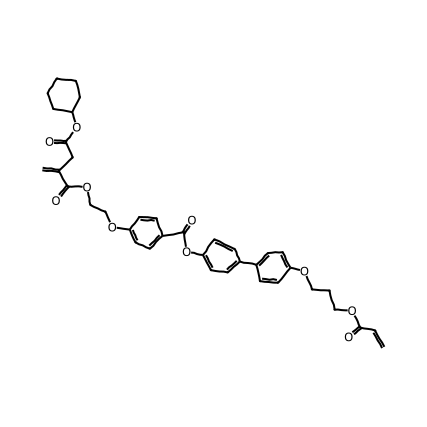 C=CC(=O)OCCCOc1ccc(-c2ccc(OC(=O)c3ccc(OCCOC(=O)C(=C)CC(=O)OC4CCCCC4)cc3)cc2)cc1